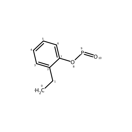 [CH2]Cc1ccccc1OP=O